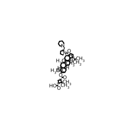 C=C(C)[C@@H]1CC[C@]2(C(=O)N3CCC[C@H]3CN3CCCCC3)CC[C@]3(C)[C@H](CC[C@@H]4[C@@]5(C)CC[C@H](OC(=O)[C@H]6C[C@@H](C(=O)O)C6(C)C)[C@H](C)[C@@H]5CC[C@]43C)[C@@H]12